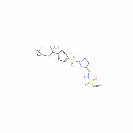 C=CS(=O)(=O)NCC1CCN(S(=O)(=O)c2ccc(C(CC3CC3(F)F)C(=O)O)cc2)C1